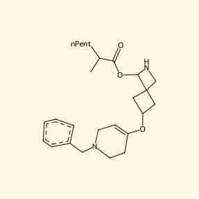 CCCCCC(C)C(=O)OC1NCC12CC(OC1=CCN(Cc3ccccc3)CC1)C2